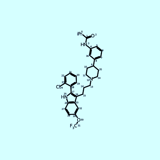 CC(C)C(=O)Nc1cccc(C2CCN(CCCc3c(-c4ccccc4Cl)[nH]c4ccc(OC(F)(F)F)cc34)CC2)c1